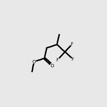 COC(=O)CC(C)C(F)(F)F